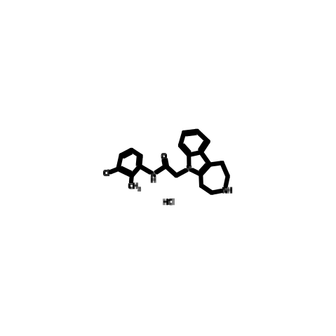 Cc1c(Cl)cccc1NC(=O)Cn1c2c(c3ccccc31)CCNCC2.Cl